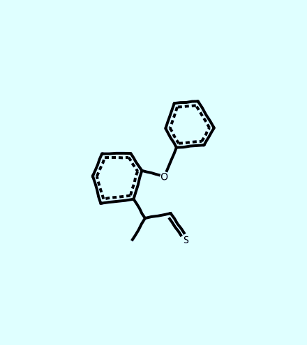 CC(C=S)c1ccccc1Oc1ccccc1